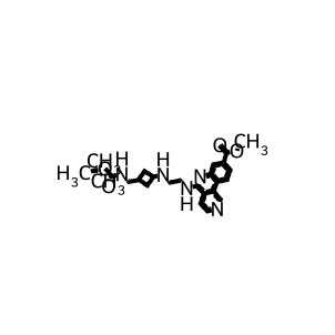 COC(=O)c1ccc2c(c1)nc(NCCNC1CC(CNC(=O)OC(C)(C)C)C1)c1ccncc12